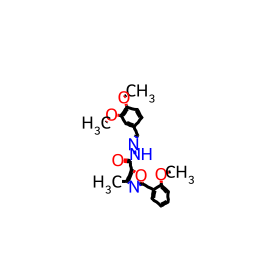 COc1ccc(C=NNC(=O)c2oc(-c3ccccc3OC)nc2C)cc1OC